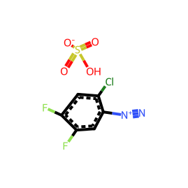 N#[N+]c1cc(F)c(F)cc1Cl.O=S(=O)([O-])O